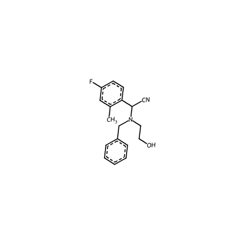 Cc1cc(F)ccc1C(C#N)N(CCO)Cc1ccccc1